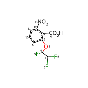 O=C(O)c1c(OC(F)C(F)F)cccc1[N+](=O)[O-]